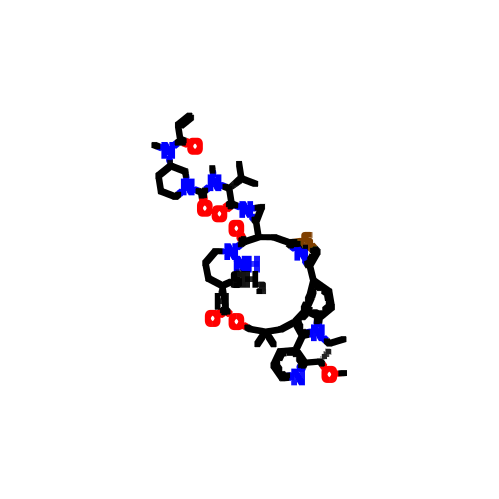 C=CC(=O)N(C)[C@@H]1CCCN(C(=O)N(C)[C@H](C(=O)N2CC2C2Cc3nc(cs3)-c3ccc4c(c3)c(c(-c3cccnc3[C@H](C)OC)n4CC)CC(C)(C)COC(=O)[C@@H]3CCCN(N[SiH2]3)C2=O)C(C)C)C1